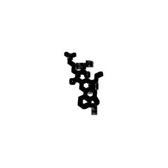 C=CCN1CC(C(=O)N(CCCN(C)C)C(=O)NCC)CC2c3cccc4[nH]cc(c34)C[C@H]21